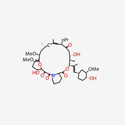 CCC[C@@H]1/C=C(\C)C[C@@H](C)C[C@H](OC)[C@H]2O[C@@](O)(C(=O)C(=O)N3CCCCC3C(=O)O[C@H](/C(C)=C/[C@@H]3CC[C@@H](O)[C@H](OC)C3)[C@H](C)[C@@H](O)CC1=O)[C@H](C)C[C@@H]2OC